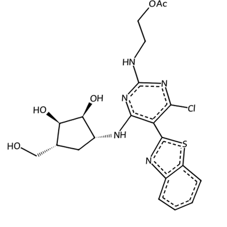 CC(=O)OCCNc1nc(Cl)c(-c2nc3ccccc3s2)c(N[C@@H]2C[C@H](CO)[C@@H](O)[C@H]2O)n1